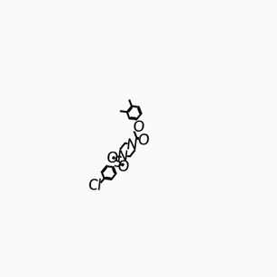 Cc1ccc(OCC(=O)N2CCN(S(=O)(=O)c3ccc(Cl)cc3)CC2)cc1C